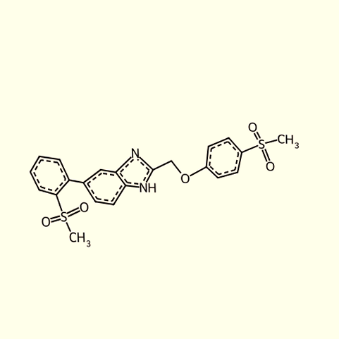 CS(=O)(=O)c1ccc(OCc2nc3cc(-c4ccccc4S(C)(=O)=O)ccc3[nH]2)cc1